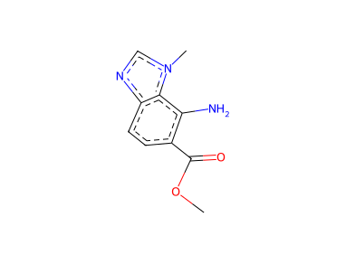 COC(=O)c1ccc2ncn(C)c2c1N